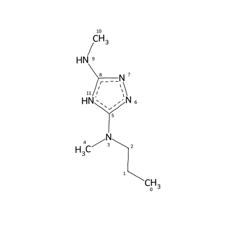 CCCN(C)c1nnc(NC)[nH]1